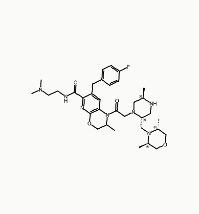 CC1COc2nc(C(=O)NCCN(C)C)c(Cc3ccc(F)cc3)cc2N1C(=O)CN1C[C@@H](C)NC[C@@H]1CN1[C@H](C)COC[C@H]1C